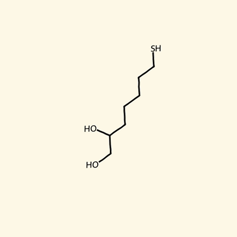 OCC(O)CCCCCS